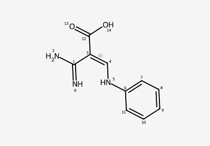 N=C(N)/C(=C\Nc1ccccc1)C(=O)O